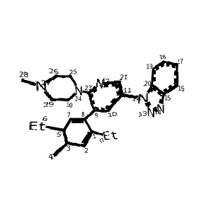 CCC1=CC(C)C(CC)C=C1c1cc(-n2nnc3ccccc32)cnc1N1CCN(C)CC1